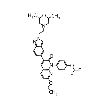 CCOc1ccc2cc(-c3ccc4nn(CCN5C[C@H](C)O[C@@H](C)C5)cc4c3)c(=O)n(-c3ccc(OC(F)F)cc3)c2n1